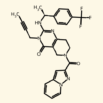 CC#CCn1c(N[C@@H](C)c2ccc(C(F)(F)F)cc2)nc2c(c1=O)CN(C(=O)c1cc3ccccn3n1)CC2